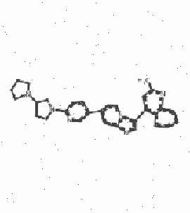 Cc1cc(-c2cnc3cc(-c4ccc(N5CCC(N6CCCC6)C5)nc4)ccn23)c2ccccc2n1